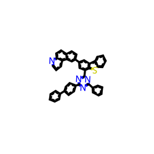 c1ccc(-c2ccc(-c3nc(-c4ccccc4)nc(-c4cc(-c5ccc6ccc7ncccc7c6c5)cc5c4sc4ccccc45)n3)cc2)cc1